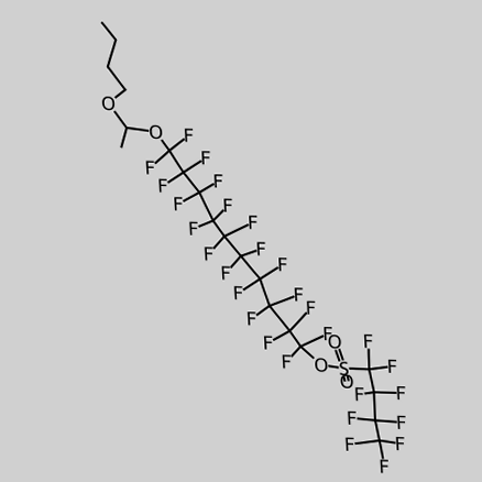 CCCCOC(C)OC(F)(F)C(F)(F)C(F)(F)C(F)(F)C(F)(F)C(F)(F)C(F)(F)C(F)(F)C(F)(F)C(F)(F)OS(=O)(=O)C(F)(F)C(F)(F)C(F)(F)C(F)(F)F